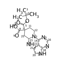 CC(C)(C)OC(=O)C1(C(=O)O)CCN(c2ncnc3[nH]ccc23)C(N)C1